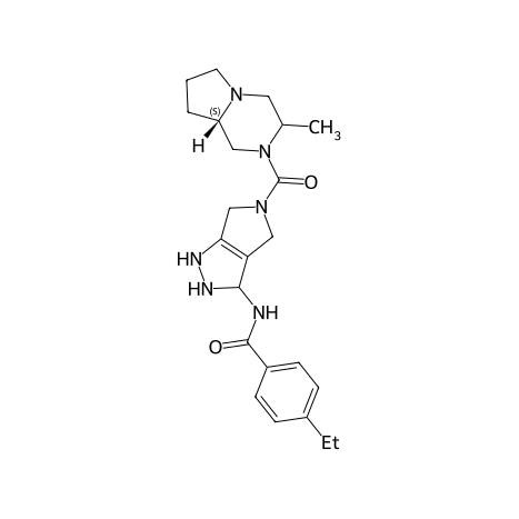 CCc1ccc(C(=O)NC2NNC3=C2CN(C(=O)N2C[C@@H]4CCCN4CC2C)C3)cc1